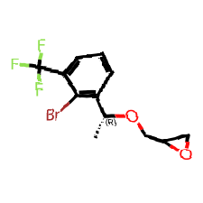 C[C@@H](OCC1CO1)c1cccc(C(F)(F)F)c1Br